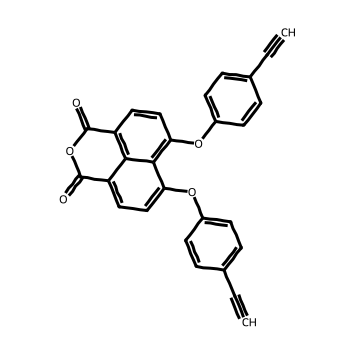 C#Cc1ccc(Oc2ccc3c4c(ccc(Oc5ccc(C#C)cc5)c24)C(=O)OC3=O)cc1